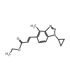 CCOC(=O)/C=C/c1ccc2c(nnn2C2CC2)c1C